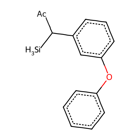 CC(=O)C([SiH3])c1cccc(Oc2ccccc2)c1